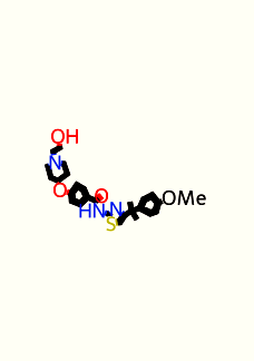 COc1ccc(C(C)(C)c2csc(NC(=O)c3ccc(OC4CCN(CCO)CC4)cc3)n2)cc1